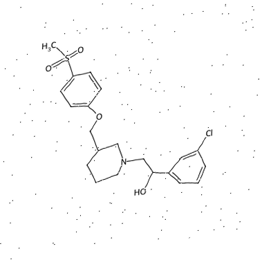 CS(=O)(=O)c1ccc(OCC2CCCN(CC(O)c3cccc(Cl)c3)C2)cc1